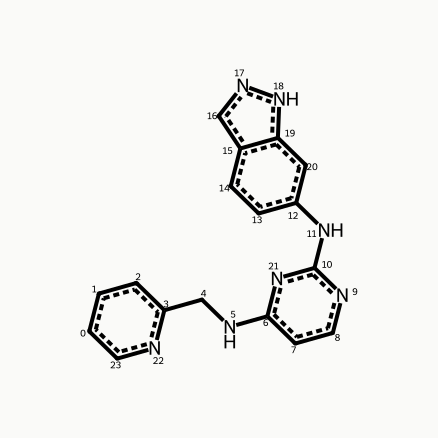 c1ccc(CNc2ccnc(Nc3ccc4cn[nH]c4c3)n2)nc1